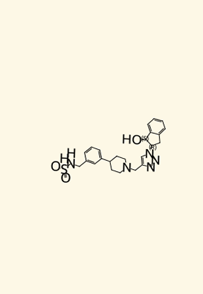 O=[SH](=O)NCc1cccc(C2CCN(Cc3cn([C@@H]4Cc5ccccc5[C@@H]4O)nn3)CC2)c1